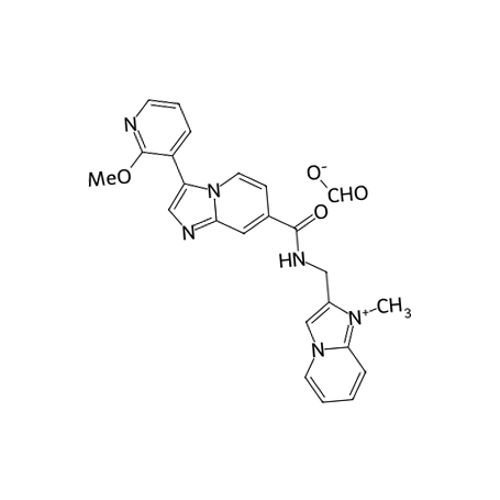 COc1ncccc1-c1cnc2cc(C(=O)NCc3cn4ccccc4[n+]3C)ccn12.O=C[O-]